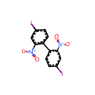 O=[N+]([O-])c1cc(I)ccc1-c1ccc(I)cc1[N+](=O)[O-]